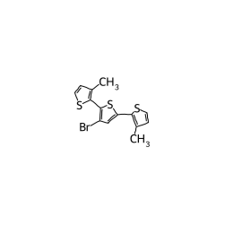 Cc1ccsc1-c1cc(Br)c(-c2sccc2C)s1